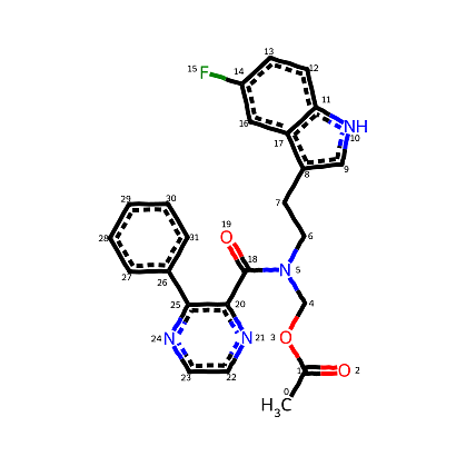 CC(=O)OCN(CCc1c[nH]c2ccc(F)cc12)C(=O)c1nccnc1-c1ccccc1